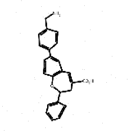 NCc1ccc(-c2ccc3c(c2)C=C(C(=O)O)CC(c2ccccc2)O3)cc1